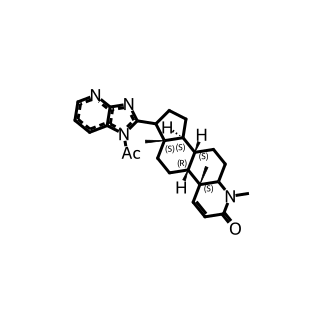 CC(=O)n1c(C2CC[C@H]3[C@@H]4CCC5N(C)C(=O)C=C[C@]5(C)[C@@H]4CC[C@]23C)nc2ncccc21